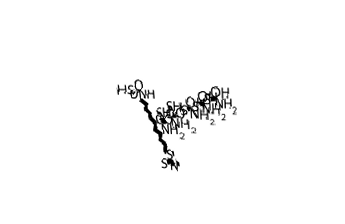 C=NC(=S)S(=C)CCCCCCCCCCCNC(=O)OS.NC(=O)OS.NC(=O)OS.NC(O)=S.NC(O)=S.NC(O)=S